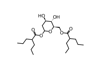 CCCC(CCC)C(=O)OC[C@H]1OC(OC(=O)C(CCC)CCC)C[C@@H](O)[C@@H]1O